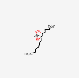 CCCCCCCCCCCCCCCCCCCCCC(=O)O.C[Si](C)(O)OO